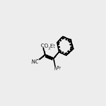 CCC/C(=C(\C#N)C(=O)OCC)c1ccccc1